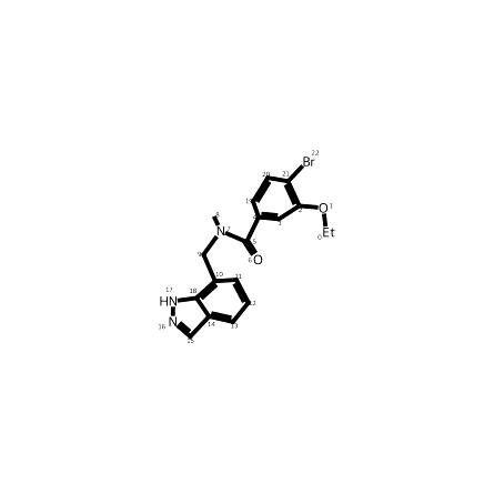 CCOc1cc(C(=O)N(C)Cc2cccc3cn[nH]c23)ccc1Br